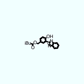 CCC(C)C(=O)OCc1ccc(O)c(-n2nc3ccccc3n2)c1